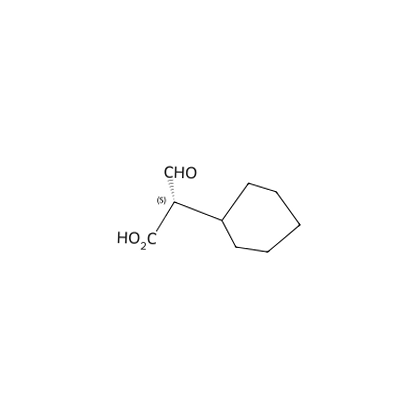 O=C[C@@H](C(=O)O)C1CCCCC1